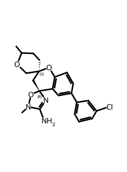 CC1CC[C@@]2(CO1)C[C@]1(N=C(N)N(C)O1)c1cc(-c3cccc(Cl)c3)ccc1O2